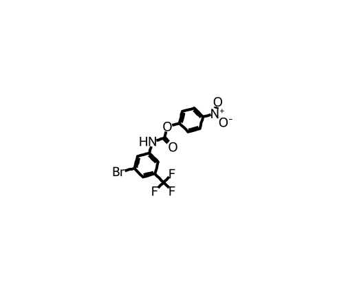 O=C(Nc1cc(Br)cc(C(F)(F)F)c1)Oc1ccc([N+](=O)[O-])cc1